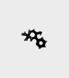 O=P1(O)OCC(Br)C(c2ccccc2)O1